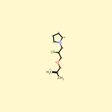 C=C(C)COCC(Cl)CN1CCCC1